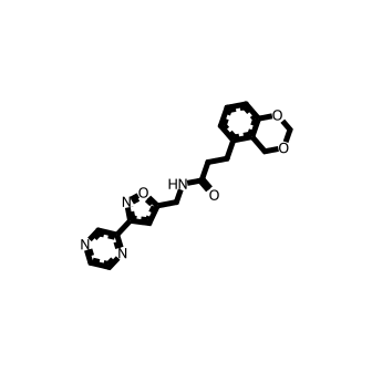 O=C(CCc1cccc2c1COCO2)NCc1cc(-c2cnccn2)no1